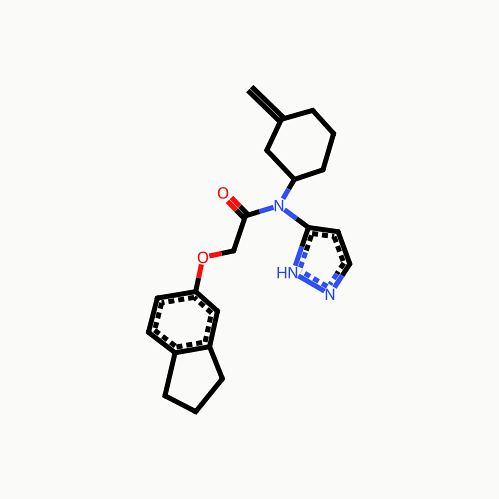 C=C1CCCC(N(C(=O)COc2ccc3c(c2)CCC3)c2ccn[nH]2)C1